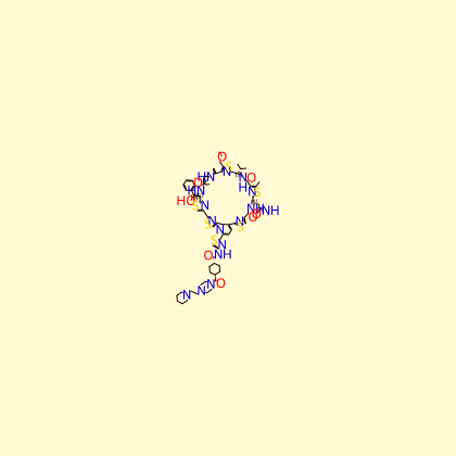 C=C1NCC(=O)N[C@@H]([C@@H](O)c2ccccc2)c2nc(cs2)-c2nc(cs2)-c2nc(-c3nc(NC(=O)[C@H]4CC[C@H](C(=O)N5CCN(CCN6CCCCC6)CC5)CC4)cs3)ccc2-c2nc(cs2)C(=O)N[C@@H](CC(=O)NC)c2nc(c(C)s2)C(=O)N[C@@H](C(C)C)c2nc1c(COC)s2